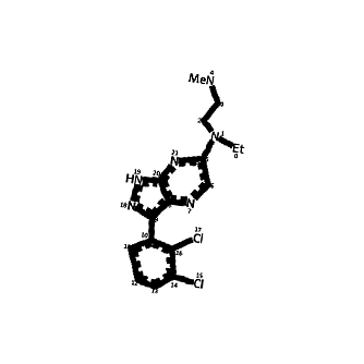 CCN(CCNC)c1cnc2c(-c3cccc(Cl)c3Cl)n[nH]c2n1